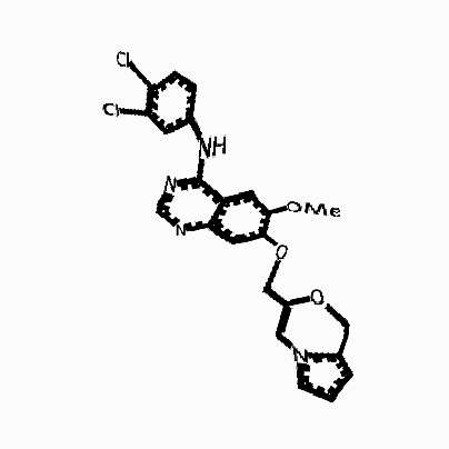 COc1cc2c(Nc3ccc(Cl)c(Cl)c3)ncnc2cc1OCC1=Cn2cccc2CO1